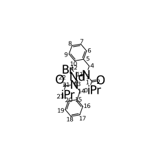 CC(C)C(=O)[N](Cc1ccccc1)[Nd]([Br])[N](Cc1ccccc1)C(=O)C(C)C